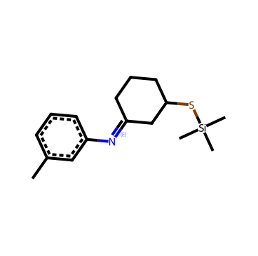 Cc1cccc(/N=C2\CCCC(S[Si](C)(C)C)C2)c1